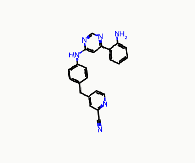 N#Cc1cc(Cc2ccc(Nc3cc(-c4ccccc4N)ncn3)cc2)ccn1